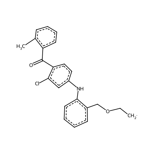 [CH2]COCc1ccccc1Nc1ccc(C(=O)c2ccccc2C)c(Cl)c1